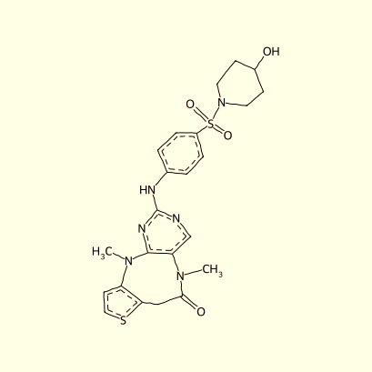 CN1C(=O)Cc2sccc2N(C)c2nc(Nc3ccc(S(=O)(=O)N4CCC(O)CC4)cc3)ncc21